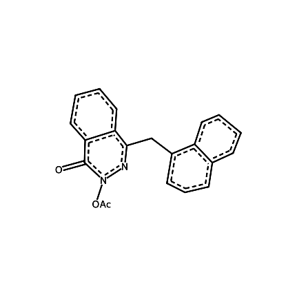 CC(=O)On1nc(Cc2cccc3ccccc23)c2ccccc2c1=O